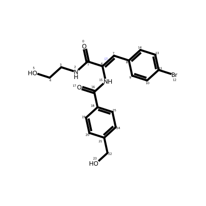 O=C(NCCO)/C(=C/c1ccc(Br)cc1)NC(=O)c1ccc(CO)cc1